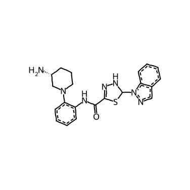 N[C@@H]1CCCN(c2ccccc2NC(=O)C2=NNC(n3ncc4ccccc43)S2)C1